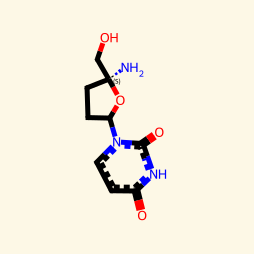 N[C@@]1(CO)CCC(n2ccc(=O)[nH]c2=O)O1